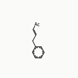 CC(=O)/C=C/Cc1ccccc1